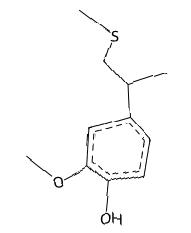 COc1cc(C(C)CSC)ccc1O